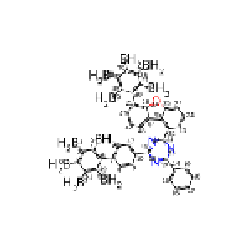 Bc1c(B)c(B)c(-c2ccc(-c3nc(-c4ccccc4)nc(-c4cccc5oc6c(-c7c(B)c(B)c(B)c(B)c7B)cccc6c45)n3)cc2)c(B)c1B